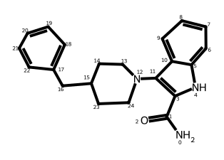 NC(=O)c1[nH]c2ccccc2c1N1CCC(Cc2ccccc2)CC1